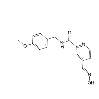 COc1ccc(CNC(=O)c2cc(/C=N/O)ccn2)cc1